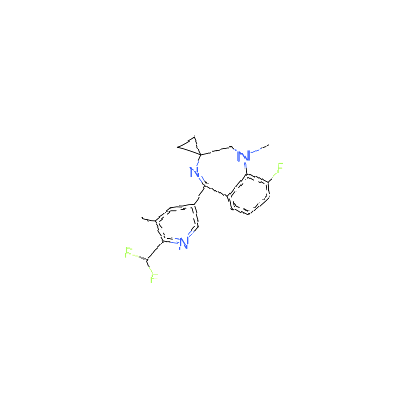 Cc1cc(C2=NC3(CC3)CN(C)c3c(F)cccc32)cnc1C(F)F